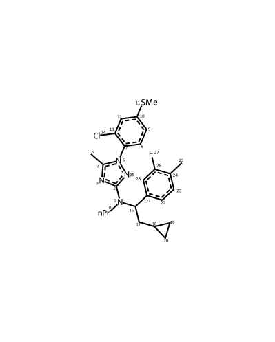 CCCN(c1nc(C)n(-c2ccc(SC)cc2Cl)n1)C(CC1CC1)c1ccc(C)c(F)c1